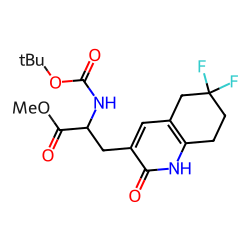 COC(=O)C(Cc1cc2c([nH]c1=O)CCC(F)(F)C2)NC(=O)OC(C)(C)C